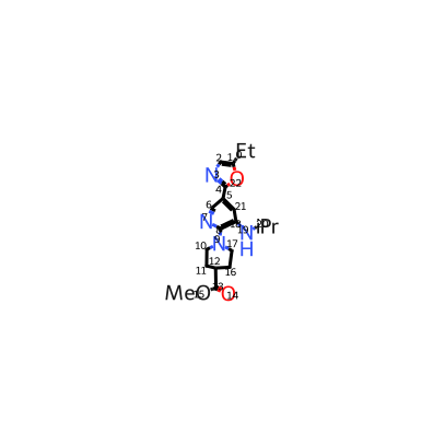 CCc1cnc(-c2cnc(N3CCC(C(=O)OC)CC3)c(NC(C)C)c2)o1